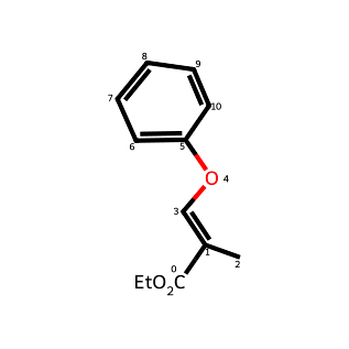 CCOC(=O)/C(C)=C/Oc1ccccc1